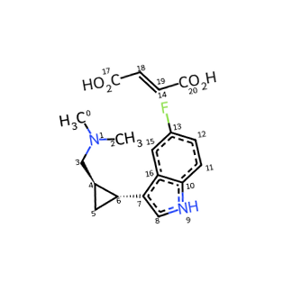 CN(C)C[C@@H]1C[C@H]1c1c[nH]c2ccc(F)cc12.O=C(O)/C=C/C(=O)O